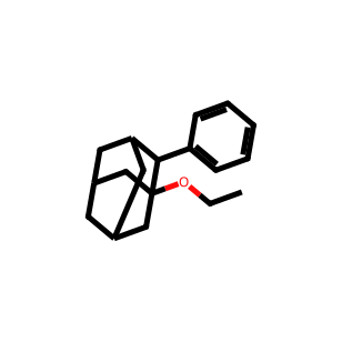 CCOC12CC3CC(CC(C3)C1c1ccccc1)C2